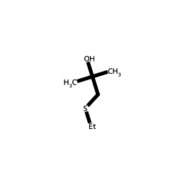 CCSCC(C)(C)O